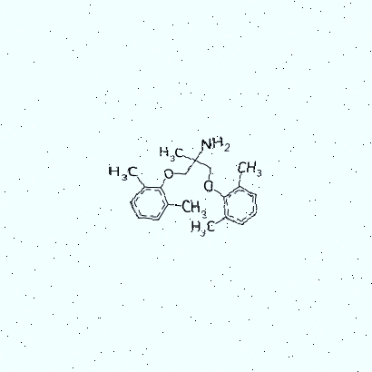 Cc1cccc(C)c1OCC(C)(N)COc1c(C)cccc1C